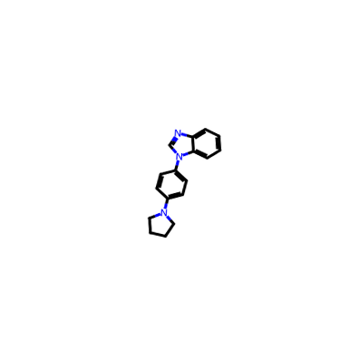 c1ccc2c(c1)ncn2-c1ccc(N2CCCC2)cc1